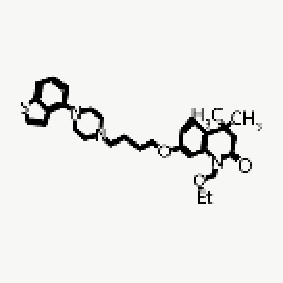 CCOCN1C(=O)CC(C)(C)c2ccc(OCCCCN3CCN(c4cccc5sccc45)CC3)cc21